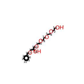 OCCOCCOCCOCCOCC(O)COCc1ccccc1